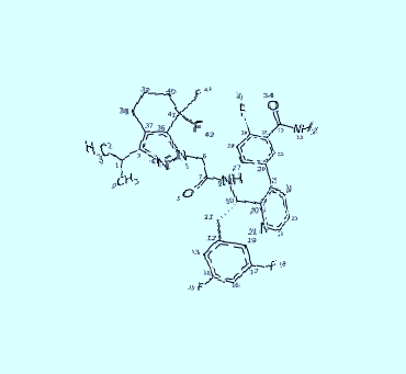 CC(C)c1nn(CC(=O)N[C@@H](Cc2cc(F)cc(F)c2)c2ncccc2-c2ccc(F)c(C(N)=O)c2)c2c1CCCC2(F)F